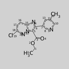 CCOC(=O)c1c(-c2cncc(C)c2)nc2ccc(Cl)nn12